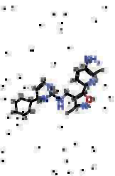 Cc1nc(-c2onc(C)c2CNc2nccc(C3CCCCC3)n2)ccc1N